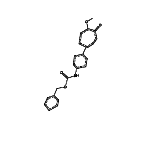 COc1ccc(-c2ccc(NC(=O)OCc3ccccc3)cc2)ccc1=O